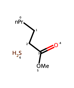 CCCCCC(=O)OC.S